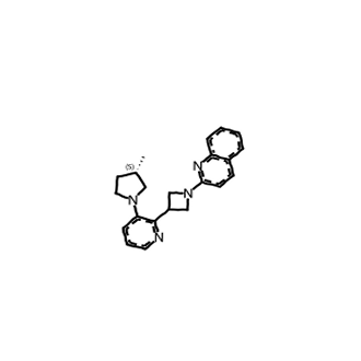 C[C@H]1CCN(c2cccnc2C2CN(c3ccc4ccccc4n3)C2)C1